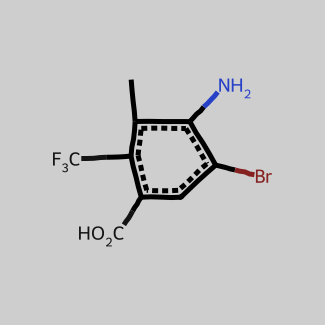 Cc1c(N)c(Br)cc(C(=O)O)c1C(F)(F)F